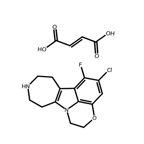 Fc1c(Cl)cc2c3c1c1c(n3CCO2)CCNCC1.O=C(O)C=CC(=O)O